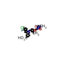 Cc1cc(CN(CC2CCC(C(=O)O)CC2)[C@H]2CCc3c2ccc(Cl)c3F)ccc1OCCN1C(=O)CN(C)C1=O